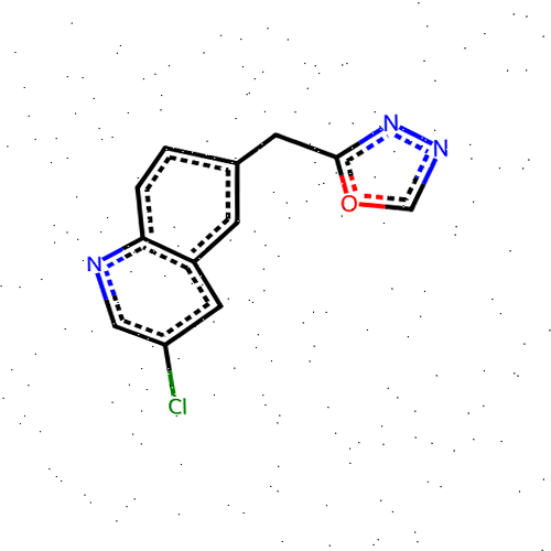 Clc1cnc2ccc(Cc3nnco3)cc2c1